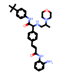 CC(CNC(C(=O)Nc1ccc(C(C)(C)C)cc1)c1ccc(/C=C/C(=O)Nc2ccccc2N)cc1)N1CCOCC1